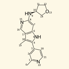 Cc1cc(-c2[nH]c3cc(N[C@H]4CCOC4)ncc3c2C)ccn1